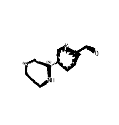 O=Cc1ccc([C@H]2CNCCN2)cn1